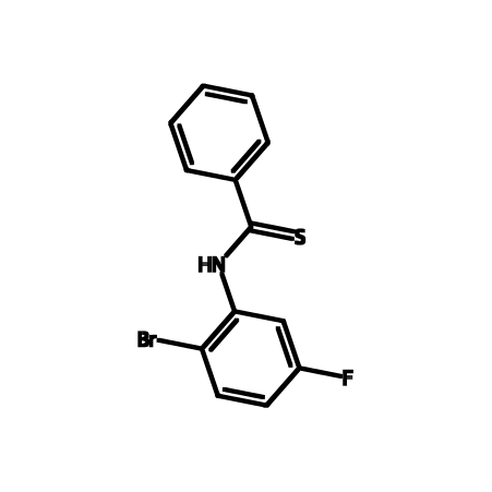 Fc1ccc(Br)c(NC(=S)c2ccccc2)c1